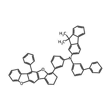 CC1(C)c2ccccc2-c2ccc(N(c3cccc(C4=c5oc6c(-c7ccccc7)c7c(cc6c5=CCC4)oc4ccccc47)c3)c3cccc(-c4ccccc4)c3)cc21